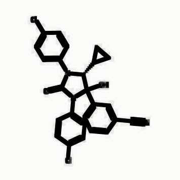 N#Cc1cccc(C2(O)[C@@H](C3CC3)N(c3ccc(Cl)cc3)C(=O)N2c2ccc(Cl)cc2)c1